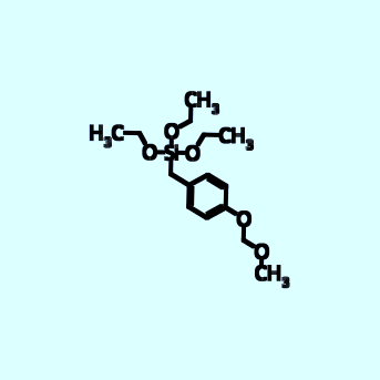 CCO[Si](Cc1ccc(OCOC)cc1)(OCC)OCC